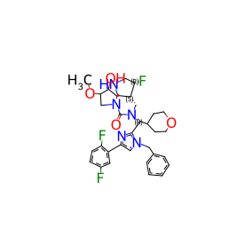 COC1CN(C(=O)N(C[C@@H]2CNC[C@@H]2F)[C@@H](c2nc(-c3cc(F)ccc3F)cn2Cc2ccccc2)C2CCOCC2)CC1O